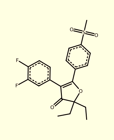 CCC1(CC)OC(c2ccc(S(C)(=O)=O)cc2)=C(c2ccc(F)c(F)c2)C1=O